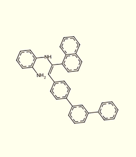 Nc1ccccc1N/C(=C/c1ccc(-c2cccc(-c3ccccc3)c2)cc1)c1cccc2ccccc12